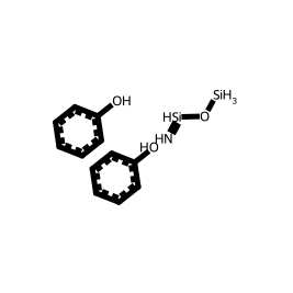 N=[SiH]O[SiH3].Oc1ccccc1.Oc1ccccc1